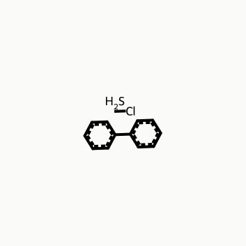 CCl.S.c1ccc(-c2ccccc2)cc1